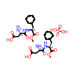 COC(=O)[C@H](Cc1ccccc1)NC(=O)[C@@H](N)CC(=O)O.COC(=O)[C@H](Cc1ccccc1)NC(=O)[C@@H](N)CC(=O)O.O=S(=O)(O)O